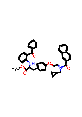 COC(=O)C(Cc1ccc(OCCN(CC2CC2)C(=O)c2ccc3ccccc3c2)cc1)Nc1ccccc1C(=O)c1ccccc1